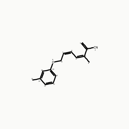 C=C(C#N)/C(C)=C\C=C/COc1cccc(C)c1